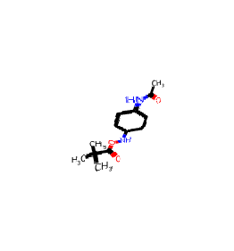 CC(=O)NC1CCC(NOC(=O)C(C)(C)C)CC1